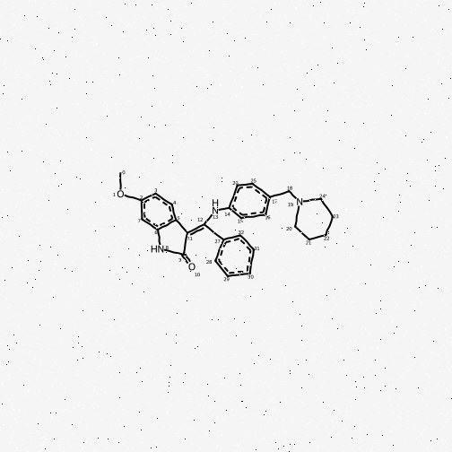 COc1ccc2c(c1)NC(=O)C2=C(Nc1ccc(CN2CCCCC2)cc1)c1ccccc1